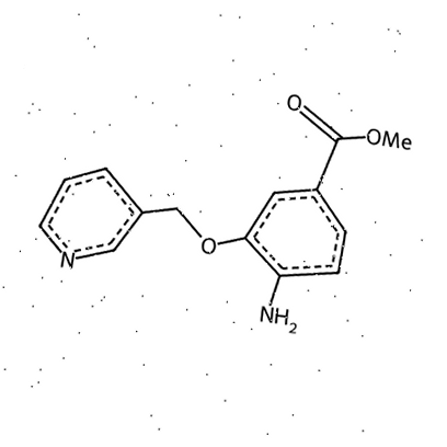 COC(=O)c1ccc(N)c(OCc2cccnc2)c1